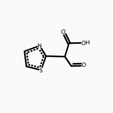 O=CC(C(=O)O)c1nccs1